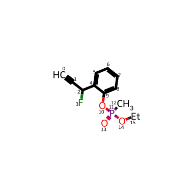 C#CC(F)c1ccccc1OP(C)(=O)OCC